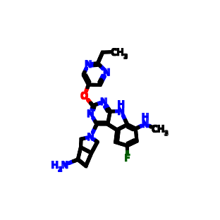 CCc1ncc(Oc2nc(N3CC4CC(N)C4C3)c3c(n2)[nH]c2c(NC)cc(F)cc23)cn1